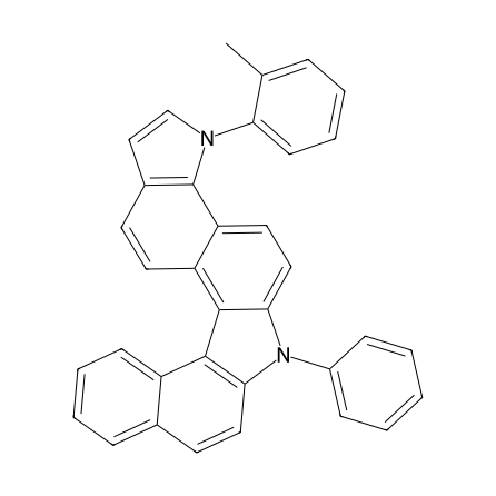 Cc1ccccc1-n1ccc2ccc3c(ccc4c3c3c5ccccc5ccc3n4-c3ccccc3)c21